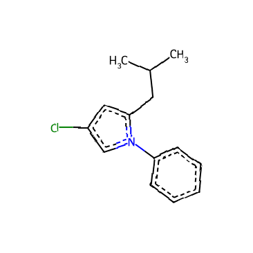 CC(C)Cc1cc(Cl)cn1-c1ccccc1